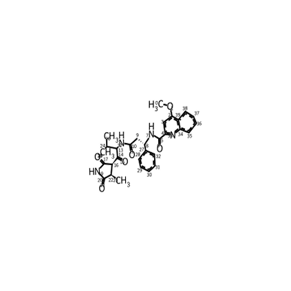 COc1cc(C(=O)N[C@@H](CC(=O)N[C@@H](C(=O)[C@@H]2C(=O)NC(=O)[C@@H]2C)C(C)C)c2ccccc2)nc2ccccc12